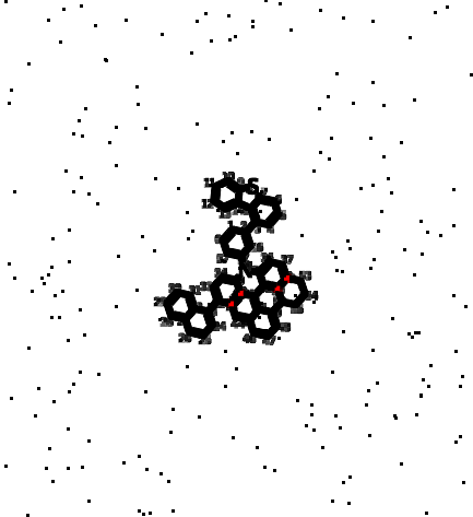 c1cc(-c2cccc3sc4ccccc4c23)cc(N(c2ccc(-c3cccc4ccccc34)cc2)c2ccccc2-c2cccc3cccc(C4CCCCC4)c23)c1